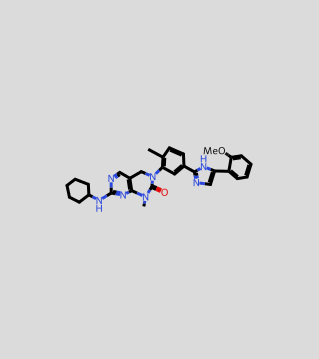 COc1ccccc1-c1cnc(-c2ccc(C)c(N3Cc4cnc(NC5CCCCC5)nc4N(C)C3=O)c2)[nH]1